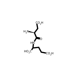 N[C@@H](CC(=O)O)C(=O)NC(CCC(=O)O)C(=O)O